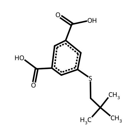 CC(C)(C)CSc1cc(C(=O)O)cc(C(=O)O)c1